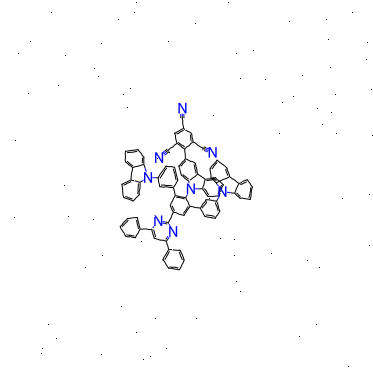 N#Cc1cc(C#N)c(-c2ccc3c(c2)c2ccccc2n3-c2c(-c3cccc(-n4c5ccccc5c5ccccc54)c3)cc(-c3nc(-c4ccccc4)cc(-c4ccccc4)n3)cc2-c2cccc(-n3c4ccccc4c4ccccc43)c2)c(C#N)c1